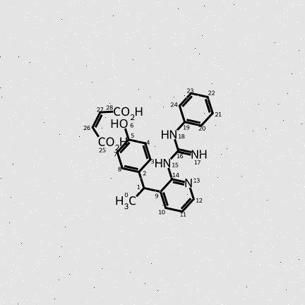 CC(c1ccc(O)cc1)c1cccnc1NC(=N)Nc1ccccc1.O=C(O)/C=C\C(=O)O